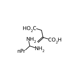 C=C(CC(=O)O)C(=O)O.CCCC(N)N